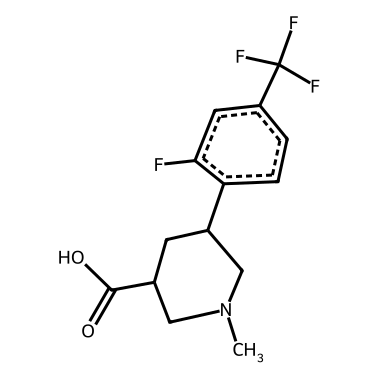 CN1CC(C(=O)O)CC(c2ccc(C(F)(F)F)cc2F)C1